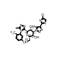 CO[C@@H]1[C@@H](n2cc(-c3nc(Cl)cs3)nn2)[C@@H](O)[C@@H](CO)O[C@H]1c1nnc(C)n1-c1cc(Cl)ccc1C(F)(F)F